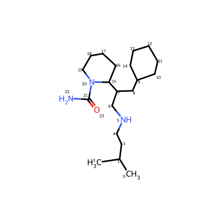 CC(C)CCNCC(CC1CCCCC1)C1CCCCN1C(N)=O